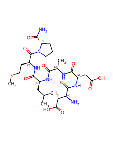 CSCC[C@H](NC(=O)[C@H](CC(C)C)NC(=O)[C@H](C)NC(=O)[C@H](CC(=O)O)NC(=O)[C@@H](N)CC(=O)O)C(=O)N1CCC[C@H]1C(N)=O